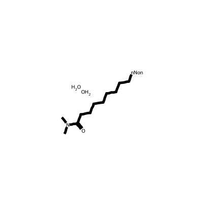 CCCCCCCCCCCCCCCCCC(=O)N(C)C.O.O